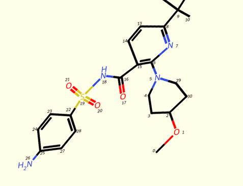 COC1CCN(c2nc(C(C)(C)C)ccc2C(=O)NS(=O)(=O)c2ccc(N)cc2)CC1